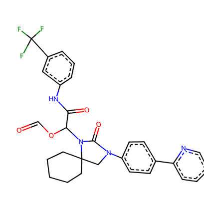 O=COC(C(=O)Nc1cccc(C(F)(F)F)c1)N1C(=O)N(c2ccc(-c3ccccn3)cc2)CC12CCCCC2